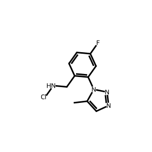 Cc1cnnn1-c1cc(F)ccc1CNCl